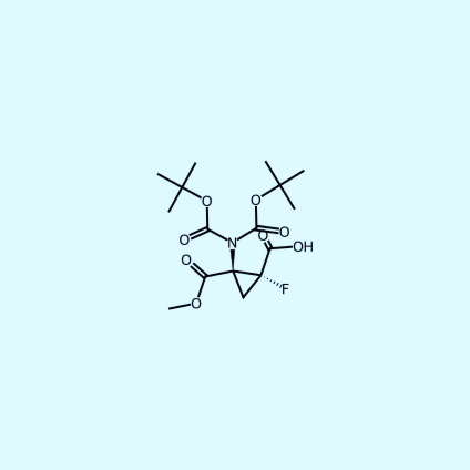 COC(=O)[C@@]1(N(C(=O)OC(C)(C)C)C(=O)OC(C)(C)C)C[C@]1(F)C(=O)O